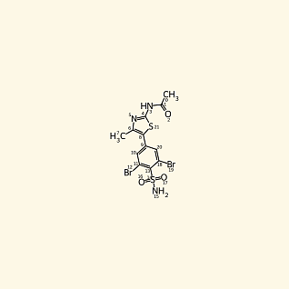 CC(=O)Nc1nc(C)c(-c2cc(Br)c(S(N)(=O)=O)c(Br)c2)s1